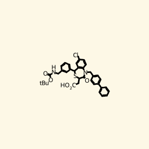 CC(C)(C)OC(=O)NCc1cccc(C2SC(CC(=O)O)C(=O)N(Cc3ccc(-c4ccccc4)cc3)c3ccc(Cl)cc32)c1